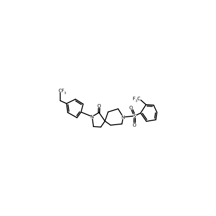 O=C1N(c2ccc(CC(F)(F)F)cc2)CCC12CCN(S(=O)(=O)c1ccccc1C(F)(F)F)CC2